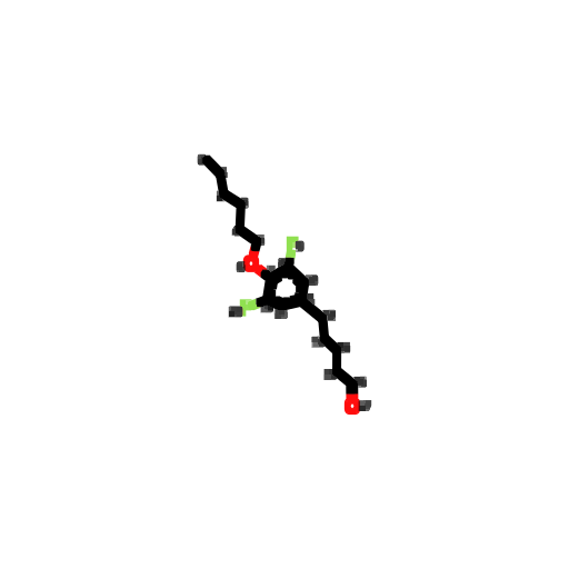 CCCCCCOc1c(F)cc(CCCCC=O)cc1F